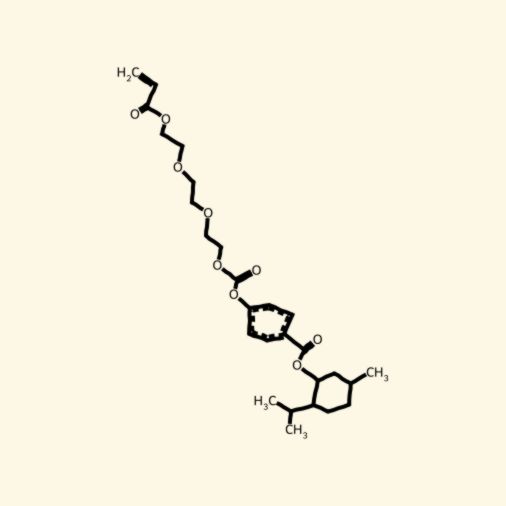 C=CC(=O)OCCOCCOCCOC(=O)Oc1ccc(C(=O)OC2CC(C)CCC2C(C)C)cc1